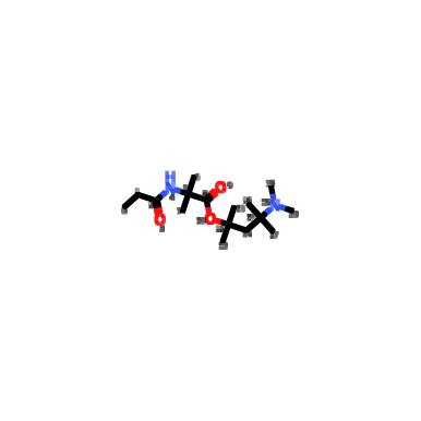 CCC(=O)NC(C)(C)C(=O)OC(C)(C)CC(C)(C)N(C)C